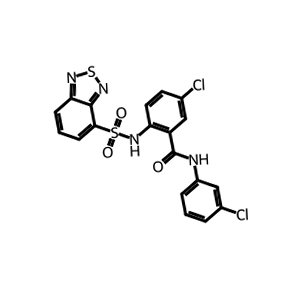 O=C(Nc1cccc(Cl)c1)c1cc(Cl)ccc1NS(=O)(=O)c1cccc2nsnc12